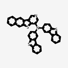 c1ccc2cc3c(cc2c1)sc1c(N(c2ccc4sc5ccccc5c4c2)c2ccc4sc5ccccc5c4c2)cncc13